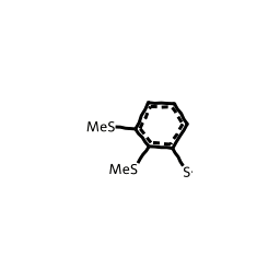 CSc1cccc([S])c1SC